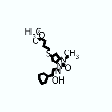 CCN1C(=O)N(N=CC(O)C2CCCCC2)C2CC(SCCCC(=O)OC)CC21